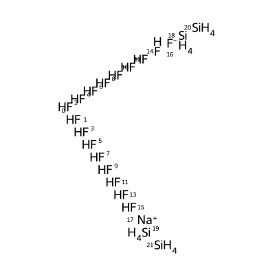 F.F.F.F.F.F.F.F.F.F.F.F.F.F.F.F.[F-].[Na+].[SiH4].[SiH4].[SiH4].[SiH4]